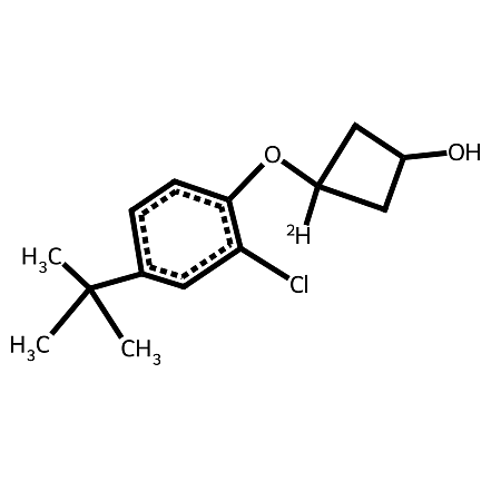 [2H]C1(Oc2ccc(C(C)(C)C)cc2Cl)CC(O)C1